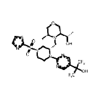 C[C@H](O)[C@@H]1COC[C@H](C)N1C[C@H]1CN(S(=O)(=O)c2nccs2)CCN1c1ncc(C(O)(C(F)(F)F)C(F)(F)F)cn1